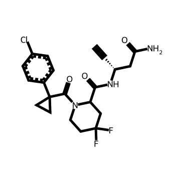 C#C[C@H](CC(N)=O)NC(=O)C1CC(F)(F)CCN1C(=O)C1(c2ccc(Cl)cc2)CC1